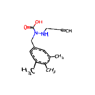 C#CCNN(Cc1cc(C)c(C)c(C)c1)C(=O)O